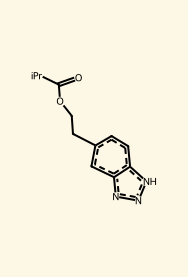 CC(C)C(=O)OCCc1ccc2[nH]nnc2c1